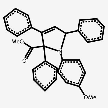 COC(=O)C1(c2ccccc2)C(c2ccccc2)=CC(c2ccccc2)N1c1ccc(OC)cc1